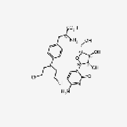 N[C@@H](Cc1ccc(N(CCCl)CCCl)cc1)C(=O)O.Nc1ccn([C@@H]2O[C@H](CO)[C@@H](O)[C@@H]2O)c(=O)n1